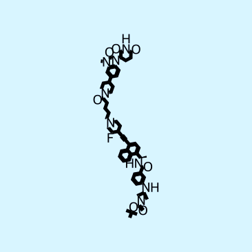 C[C@@H](NC(=O)c1cccc(NC2CN(C(=O)OC(C)(C)C)C2)c1)c1ccc(C#CC2CCN(CCCCC(=O)N3CCC(c4ccc5c(c4)n(C)c(=O)n5C4CCC(=O)NC4=O)CC3)CC2F)c2ccccc12